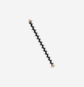 BrCCCCCCCCCCCCCCCCCCCCCCCCCCCCBr